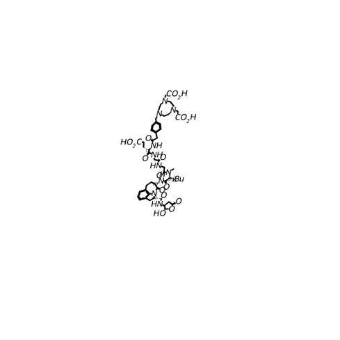 CC[C@H](C)[C@@H](C(=O)N[C@H]1CCc2cccc3c2N(C1=O)[C@H](C(=O)NC1CC(=O)OC1O)C3)N(C)C(=O)CNC(=O)CNC(=O)[C@H](CCC(=O)O)NC(=O)Cc1ccc(CN2CCN(CC(=O)O)CCN(CC(=O)O)CC2)cc1